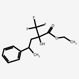 CCOC(=O)C(O)(CC(C)c1ccccc1)C(F)(F)F